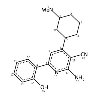 CNC1CCCC(c2cc(-c3ccccc3O)nc(N)c2C#N)C1